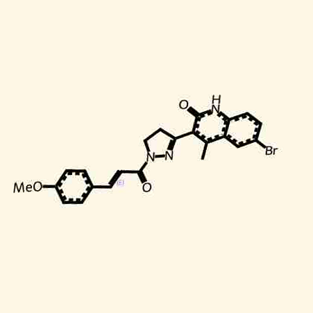 COc1ccc(/C=C/C(=O)N2CCC(c3c(C)c4cc(Br)ccc4[nH]c3=O)=N2)cc1